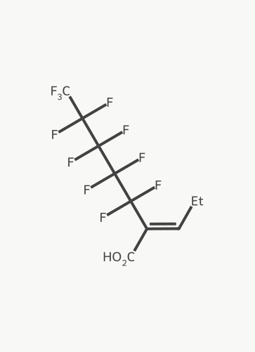 CCC=C(C(=O)O)C(F)(F)C(F)(F)C(F)(F)C(F)(F)C(F)(F)F